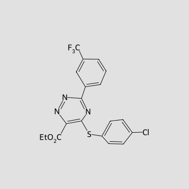 CCOC(=O)c1nnc(-c2cccc(C(F)(F)F)c2)nc1Sc1ccc(Cl)cc1